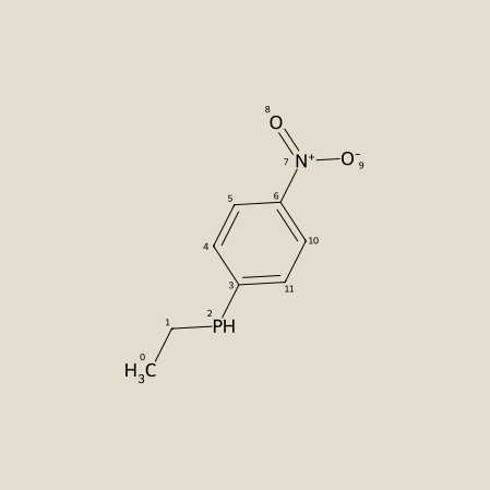 CCPc1ccc([N+](=O)[O-])cc1